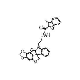 Cc1c(C(=O)NCCCN2C(=O)C3(COc4cc5c(cc43)OCO5)c3ccccc32)oc2ccccc12